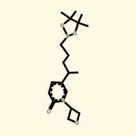 CC(CCCB1OC(C)(C)C(C)(C)O1)c1ccc(=O)n(C2COC2)c1